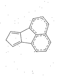 [c]1ccc2cccc3c2c1C1=CCC=C13